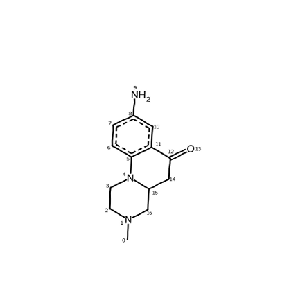 CN1CCN2c3ccc(N)cc3C(=O)CC2C1